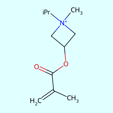 C=C(C)C(=O)OC1C[N+](C)(C(C)C)C1